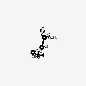 COC(=O)c1cc(C#Cc2ccc(OCc3c(-c4c(Cl)cccc4Cl)noc3C3CC3)cc2Cl)cc(CN2CCOCC2)c1